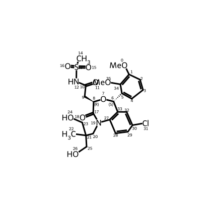 COc1cccc([C@H]2O[C@H](CC(=O)NS(C)(=O)=O)C(=O)N(CC(C)(CO)CO)c3ccc(Cl)cc32)c1OC